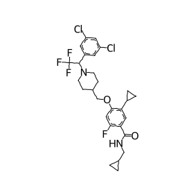 O=C(NCC1CC1)c1cc(C2CC2)c(OCC2CCN(C(c3cc(Cl)cc(Cl)c3)C(F)(F)F)CC2)cc1F